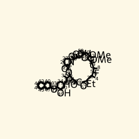 CCC1/C=C(\C)C(F)C(C)CC(OC)C2OC(O)(C(=O)C(=O)N3CCCCC3C(=O)OC(C(C)=CC3CCC(Oc4ccc5ccccc5c4)C(O)C3)C(C)C(O)CC1=O)C(C)CC2OC